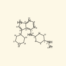 CC(C)NC1CCC(Nc2ncnc3[nH]cc(C4CCOCC4)c23)CC1